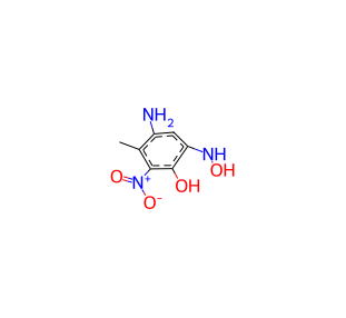 Cc1c(N)cc(NO)c(O)c1[N+](=O)[O-]